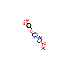 CC(C)(C)OC(=O)N1CCN(c2ncc(OCc3ccc(S(C)(=O)=O)cc3)cn2)C(C)(C)C1